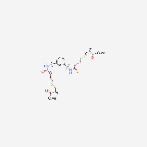 C=C(CSCCOC(=O)NC(C)(C)c1cccc(C(C)(C)NC(=O)OCCSCC(=C)C(=O)OC)c1)C(=O)OC